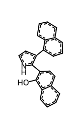 Oc1c(-c2[nH]ccc2-c2cccc3ccccc23)ccc2ccccc12